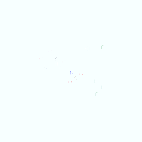 CC(C)(CC1CN(S(=O)(=O)c2cccc(C(F)(F)F)c2)c2cc(-c3cccc(F)c3Cl)ccc2O1)C(=O)O